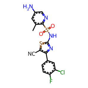 Cc1cc(N)cnc1S(=O)(=O)Nc1nc(-c2ccc(F)c(Cl)c2)c(C#N)s1